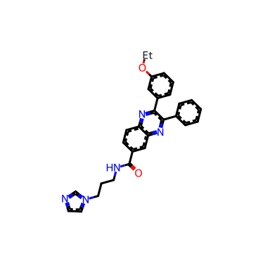 CCOc1cccc(-c2nc3ccc(C(=O)NCCCn4ccnc4)cc3nc2-c2ccccc2)c1